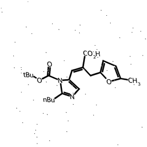 CCCCc1ncc(C=C(Cc2ccc(C)o2)C(=O)O)n1C(=O)OC(C)(C)C